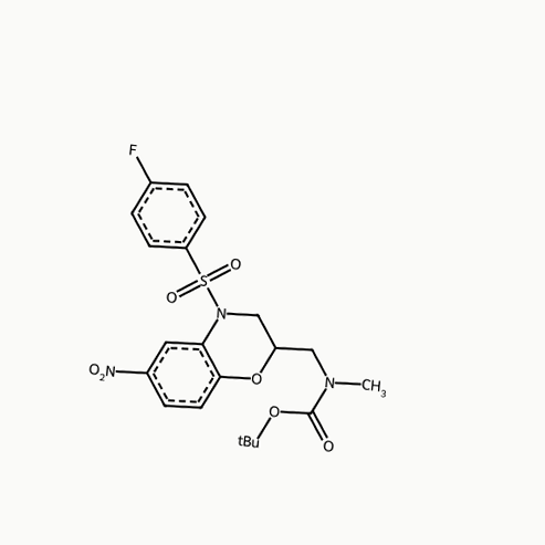 CN(CC1CN(S(=O)(=O)c2ccc(F)cc2)c2cc([N+](=O)[O-])ccc2O1)C(=O)OC(C)(C)C